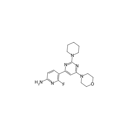 Nc1ccc(-c2cc(N3CCOCC3)nc(N3CCCCC3)n2)c(F)n1